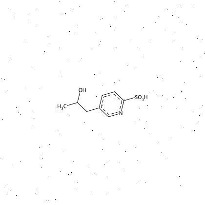 CC(O)Cc1ccc(S(=O)(=O)O)nc1